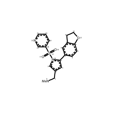 CNCc1cc(-c2ccc3c(c2)CCO3)n(S(=O)(=O)c2cccnc2)c1